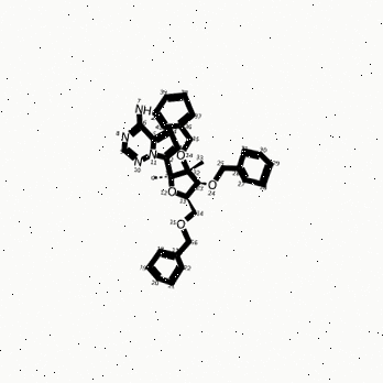 C[C@@]1(c2ccc3c(N)ncnn23)O[C@H](COCc2ccccc2)[C@@H](OCc2ccccc2)[C@@]1(C)OCc1ccccc1